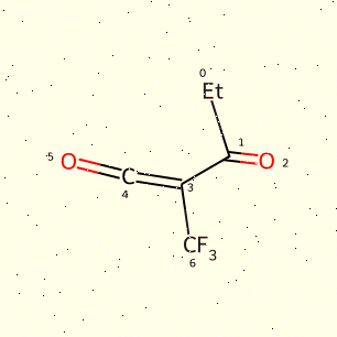 CCC(=O)C(=C=O)C(F)(F)F